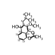 COc1c(CC(C)C)c(O)c2ccccc2c1OC(C)=O